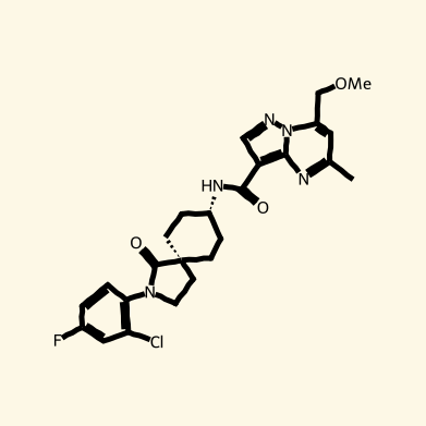 COCc1cc(C)nc2c(C(=O)N[C@H]3CC[C@@]4(CCN(c5ccc(F)cc5Cl)C4=O)CC3)cnn12